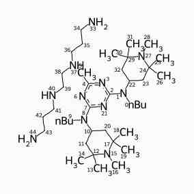 CCCCN(c1nc(C)nc(N(CCCC)C2CC(C)(C)N(C)C(C)(C)C2)n1)C1CC(C)(C)N(C)C(C)(C)C1.NCCCNCCNCCCN